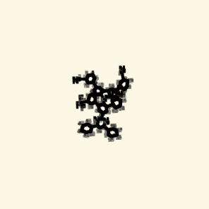 N#Cc1cccc(-c2ccc3c(c2)c2cc(-c4cccc(C#N)c4)ccc2n3-c2c(-c3cccc(C(F)(F)F)c3)cc(-c3nc(-c4ccccc4)cc(-c4ccccc4)n3)cc2-c2cccc(C(F)(F)F)c2)c1